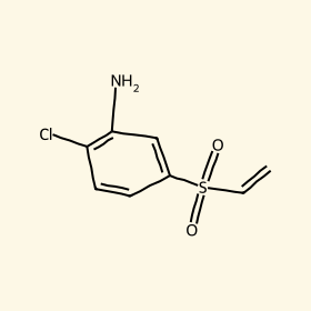 C=CS(=O)(=O)c1ccc(Cl)c(N)c1